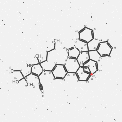 CCCCC1(C)NC(C(C)(O)CC)=C(C#N)N1c1ccc(-c2ccccc2-c2nnnn2C(c2ccccc2)(c2ccccc2)c2ccccc2)cc1